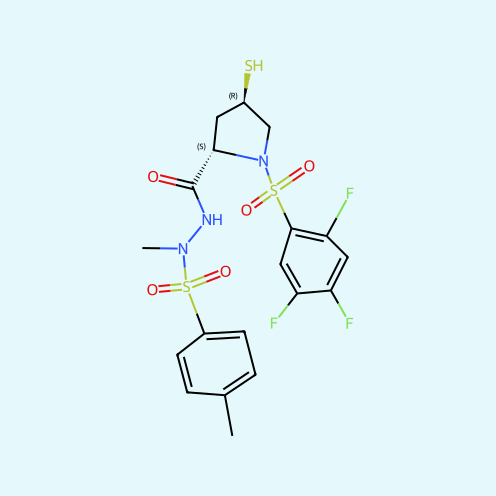 Cc1ccc(S(=O)(=O)N(C)NC(=O)[C@@H]2C[C@@H](S)CN2S(=O)(=O)c2cc(F)c(F)cc2F)cc1